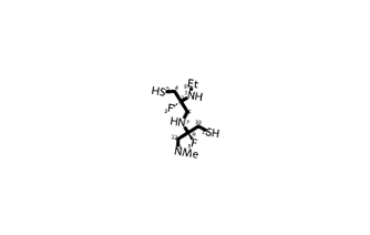 CCN[C@](F)(CS)CN[C@](F)(CS)CNC